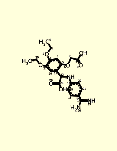 CCOc1cc(OCC(=O)O)c(C(Nc2ccc(C(=N)N)cc2)C(=O)O)cc1OCC